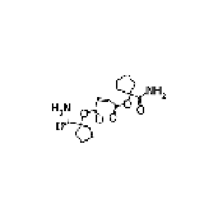 NC(=O)C1(OC(=O)/C=C\C(=O)OC2(C(N)=O)CCCC2)CCCC1